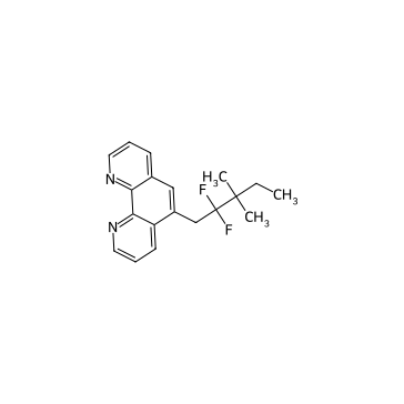 CCC(C)(C)C(F)(F)Cc1cc2cccnc2c2ncccc12